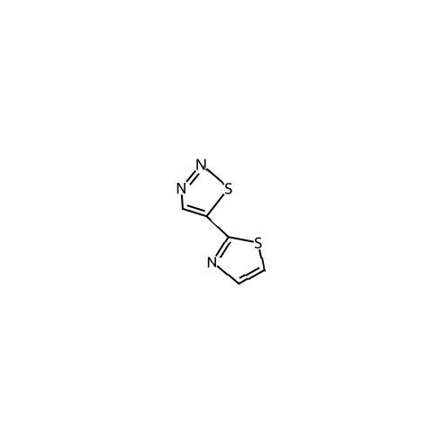 c1csc(-c2cnns2)n1